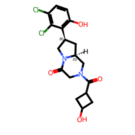 O=C(C1CC(O)C1)N1CC(=O)N2C[C@@H](c3c(O)ccc(Cl)c3Cl)C[C@H]2C1